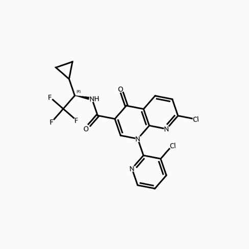 O=C(N[C@H](C1CC1)C(F)(F)F)c1cn(-c2ncccc2Cl)c2nc(Cl)ccc2c1=O